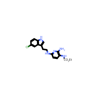 CCOC(=O)Nc1ccc(NCCc2c[nH]c3ccc(Cl)cc23)nc1N